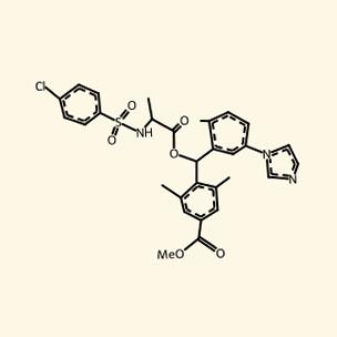 COC(=O)c1cc(C)c(C(OC(=O)C(C)NS(=O)(=O)c2ccc(Cl)cc2)c2cc(-n3ccnc3)ccc2C)c(C)c1